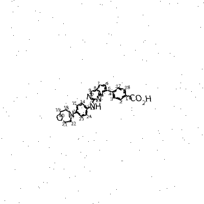 O=C(O)c1ccc(-c2ccc3cnc(Nc4ccc(N5CCOCC5)cc4)nn23)cc1